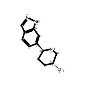 C[C@@H]1CC[C@@H](c2ccc3cn[nH]c3c2)NC1